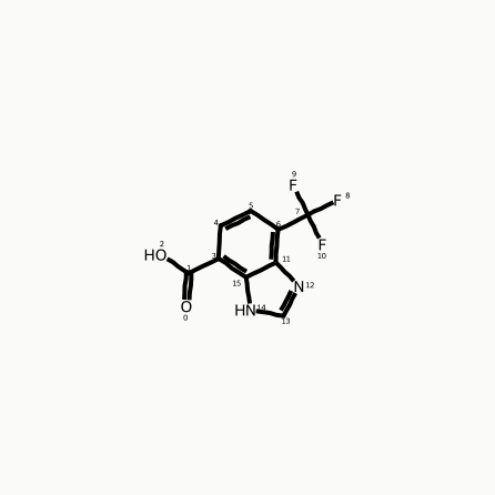 O=C(O)c1ccc(C(F)(F)F)c2nc[nH]c12